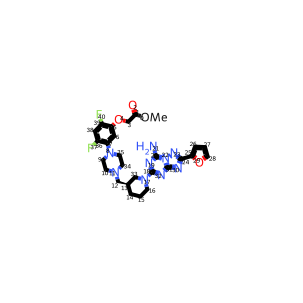 COC(=O)COc1cc(N2CCN(C[C@@H]3CCCN(c4nc(N)n5nc(-c6ccco6)nc5n4)C3)CC2)c(F)cc1F